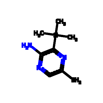 Bc1cnc(N)c([Si](C)(C)C)n1